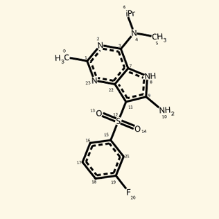 Cc1nc(N(C)C(C)C)c2[nH]c(N)c(S(=O)(=O)c3cccc(F)c3)c2n1